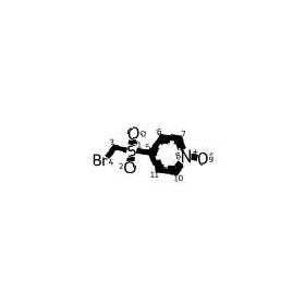 O=S(=O)(CBr)c1cc[n+]([O-])cc1